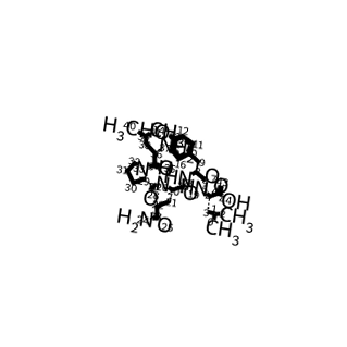 CC(C)C[C@H](NC(=O)[C@H](Cc1ccc(O)cc1)NC(=O)[C@H](CCC(N)=O)NC(=O)[C@@H]1CCCN1C(=O)[C@@H](N)CC(C)C)C(=O)O